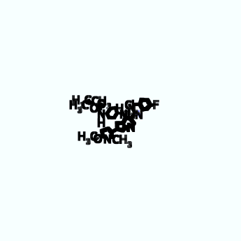 COc1ccc(-c2cc3c(N[C@H]4CC[C@H](NC(=O)OC(C)(C)C)CC4)c(/C(N)=N/c4cc(F)ccc4Cl)cnn3c2)c(C)n1